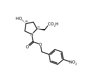 O=C(O)C[C@@H]1C[C@@H](O)CN1C(=O)OCc1ccc([N+](=O)[O-])cc1